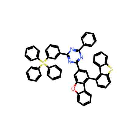 c1ccc(-c2nc(-c3cccc(S(c4ccccc4)(c4ccccc4)c4ccccc4)c3)nc(-c3cc(-c4cccc5sc6ccccc6c45)c4c(c3)oc3ccccc34)n2)cc1